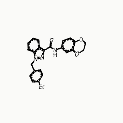 CCc1ccc(Cn2nc(C(=O)Nc3ccc4c(c3)OCCO4)c3ccccc32)cc1